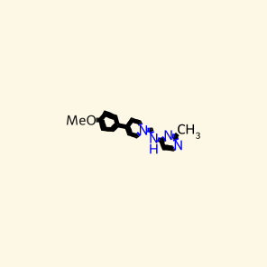 COc1ccc(C2=CCN(CNc3ccnc(C)n3)CC2)cc1